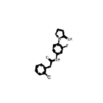 N=C1CCCN1c1ccc(NC(=O)Cc2ccccc2Cl)cc1F